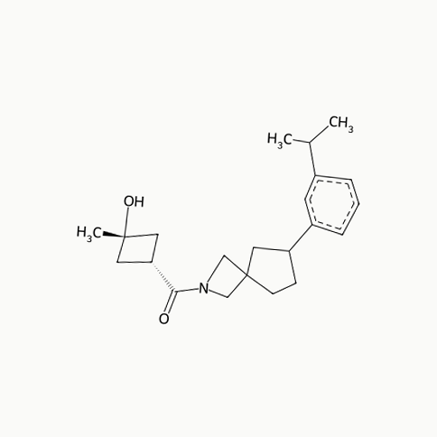 CC(C)c1cccc(C2CCC3(C2)CN(C(=O)[C@H]2C[C@@](C)(O)C2)C3)c1